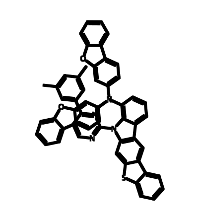 Cc1cc(C)cc(-c2ccnc(-n3c4cc5sc6ccccc6c5cc4c4cccc(N(c5ccc6c(c5)oc5ccccc56)c5ccc6c(c5)oc5ccccc56)c43)n2)c1